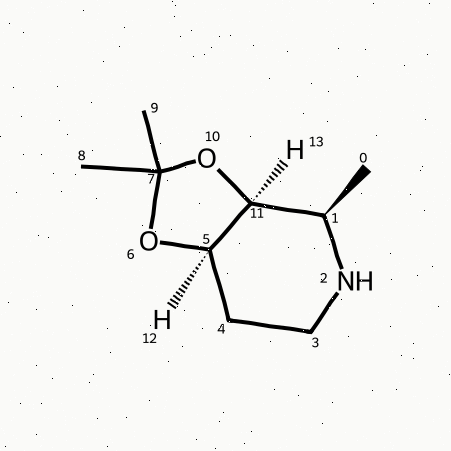 C[C@H]1NCC[C@H]2OC(C)(C)O[C@@H]12